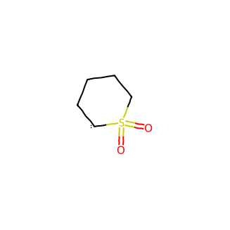 O=S1(=O)[C]CCCC1